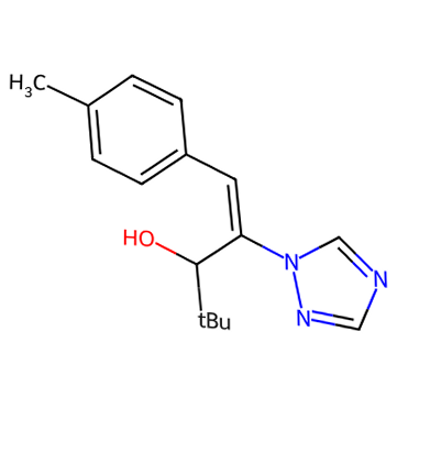 Cc1ccc(/C=C(\C(O)C(C)(C)C)n2cncn2)cc1